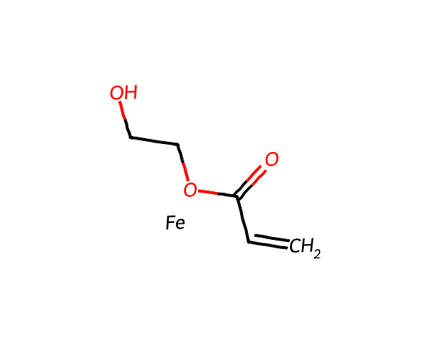 C=CC(=O)OCCO.[Fe]